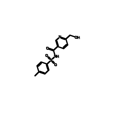 Cc1ccc(S(=O)(=O)NC(=O)c2ccc(CO)nc2)cc1